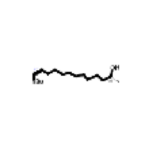 CCCC/C=C\CCCCCCCCC[C@@H](C)O